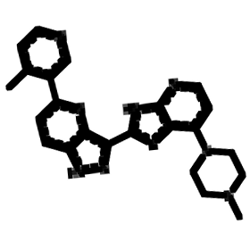 Cc1ccncc1-c1ccc2[nH]nc(-c3nc4c(N5CCN(C)CC5)ccnc4[nH]3)c2n1